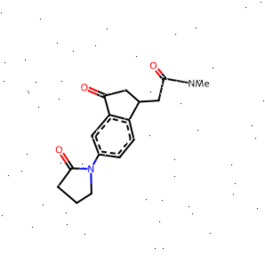 CNC(=O)CC1CC(=O)c2cc(N3CCCC3=O)ccc21